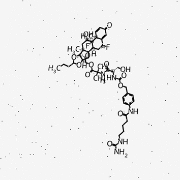 CCCC1O[C@@H]2CC3[C@@H]4C[C@H](F)C5=CC(=O)C=C[C@]5(C)[C@@]4(F)[C@@H](O)C[C@]3(C)[C@]2(C(=O)COC(=O)C(C)(C)NC(=O)[C@H](CO)NC(=O)OCc2ccc(NC(=O)CCCCNC(N)=O)cc2)O1